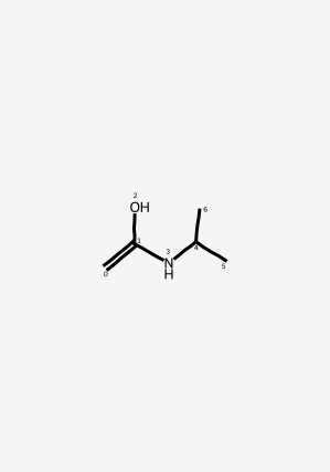 C=C(O)NC(C)C